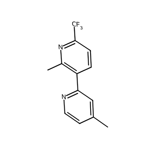 Cc1ccnc(-c2ccc(C(F)(F)F)nc2C)c1